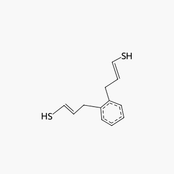 SC=CCc1ccccc1CC=CS